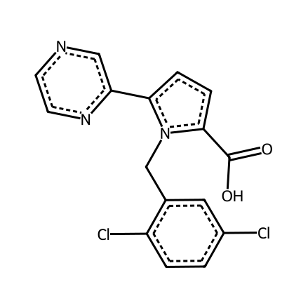 O=C(O)c1ccc(-c2cnccn2)n1Cc1cc(Cl)ccc1Cl